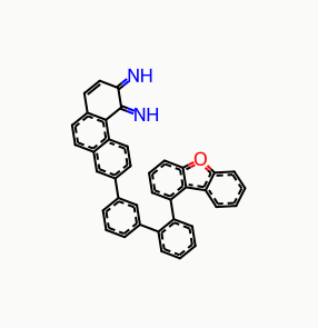 N=C1C=Cc2ccc3cc(-c4cccc(-c5ccccc5-c5cccc6oc7ccccc7c56)c4)ccc3c2C1=N